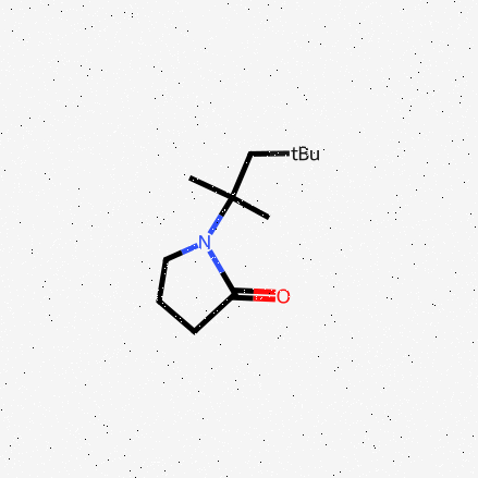 CC(C)(C)CC(C)(C)N1CCCC1=O